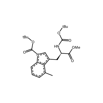 COC(=O)[C@@H](Cc1cn(C(=O)OC(C)(C)C)c2cccc(C)c12)NC(=O)OC(C)(C)C